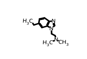 CCc1ccc2ncn(CCN(C)C)c2c1